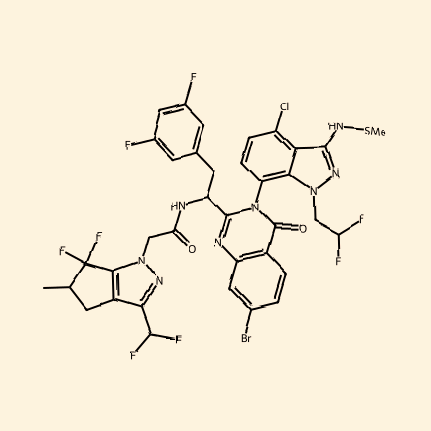 CSNc1nn(CC(F)F)c2c(-n3c(C(Cc4cc(F)cc(F)c4)NC(=O)Cn4nc(C(F)F)c5c4C(F)(F)C(C)C5)nc4cc(Br)ccc4c3=O)ccc(Cl)c12